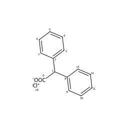 O=C([O-])C(c1ccccc1)c1ccccc1.[Cl+]